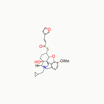 COc1ccc2c3c1OC1C(SC(=O)/C=C/c4ccoc4)CC[C@@]4(O)[C@@H](C2)N(CC2CC2)CC[C@]314